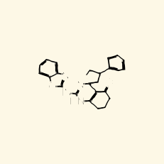 O=C1CCCC2=C1[C@@]1(CCC(c3ccccc3)C1)N=C(Nc1nc3ccccc3o1)N2